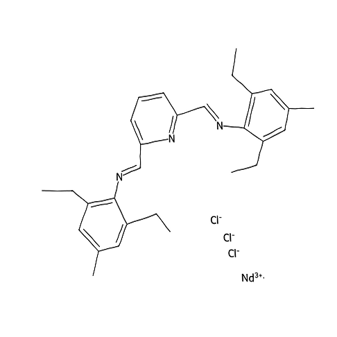 CCc1cc(C)cc(CC)c1N=Cc1cccc(C=Nc2c(CC)cc(C)cc2CC)n1.[Cl-].[Cl-].[Cl-].[Nd+3]